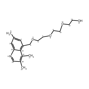 Cc1cc(COCCOCCOCCO)c2c(C)c(C)cnc2c1